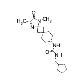 CC1=NC2(CC3(CCC(NC(=O)NCC4CCCC4)CC3)C2)N(C)C1=O